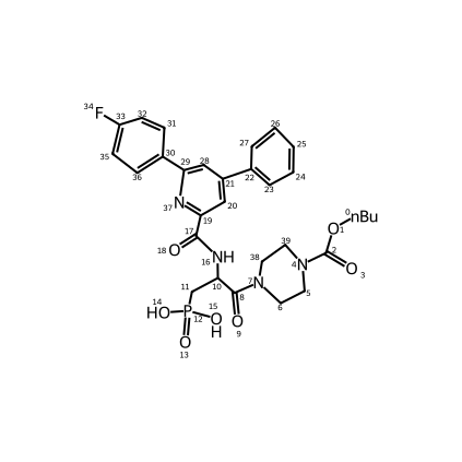 CCCCOC(=O)N1CCN(C(=O)C(CP(=O)(O)O)NC(=O)c2cc(-c3ccccc3)cc(-c3ccc(F)cc3)n2)CC1